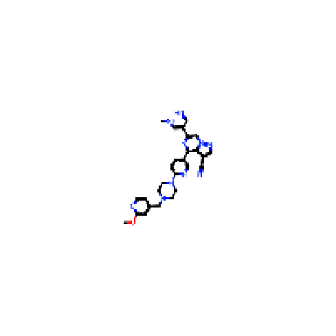 CN/C=C(\C=N)c1cn2ncc(C#N)c2c(-c2ccc(N3CCN(Cc4ccnc(OC)c4)CC3)nc2)n1